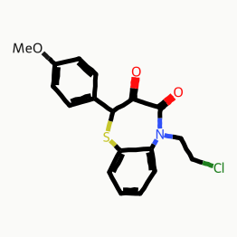 COc1ccc(C2Sc3ccccc3N(CCCl)C(=O)C2=O)cc1